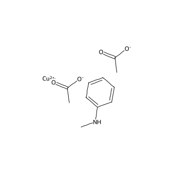 CC(=O)[O-].CC(=O)[O-].CNc1ccccc1.[Cu+2]